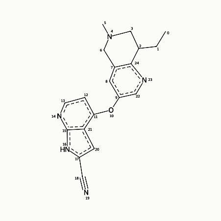 CCC1CN(C)Cc2cc(Oc3ccnc4[nH]c(C#N)cc34)cnc21